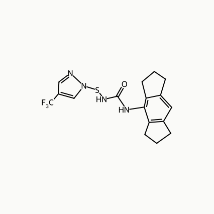 O=C(NSn1cc(C(F)(F)F)cn1)Nc1c2c(cc3c1CCC3)CCC2